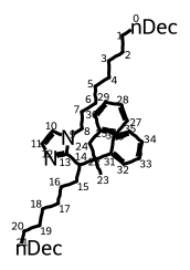 CCCCCCCCCCCCCCCCCCn1ccnc1C(CCCCCCCCCCCCCCCC)C(C)(Cc1ccccc1)c1ccccc1